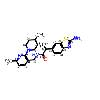 CC1CCN(c2nc(C(F)(F)F)ccc2CNC(=O)C(C)c2ccc3nc(N)sc3c2)CC1